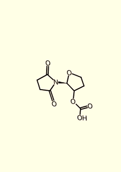 O=C(O)OC1CCO[C@@H]1N1C(=O)CCC1=O